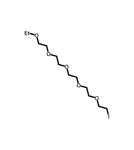 CCOCCOCCOCCOCCOCCI